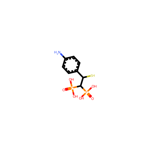 Nc1ccc(C(S)C(P(=O)(O)O)P(=O)(O)O)cc1